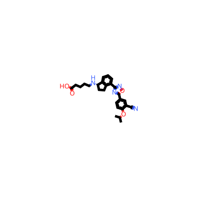 CC(C)Oc1ccc(-c2nc(-c3cccc4c3CC[C@@H]4NCCCCC(=O)O)no2)cc1C#N